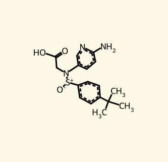 CC(C)(C)c1ccc([S+]([O-])N(CC(=O)O)c2ccc(N)nc2)cc1